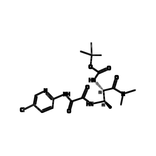 C[C@@H](NC(=O)C(=O)Nc1ccc(Cl)cn1)[C@H](NC(=O)OC(C)(C)C)C(=O)N(C)C